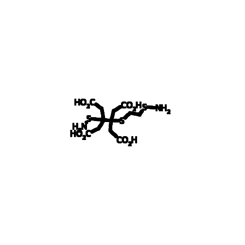 NSCCSC(CC(=O)O)(CC(=O)O)C(CC(=O)O)(CC(=O)O)SN